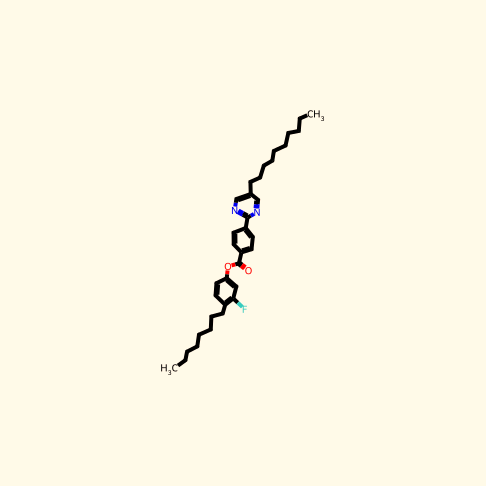 CCCCCCCCCCc1cnc(-c2ccc(C(=O)Oc3ccc(CCCCCCCC)c(F)c3)cc2)nc1